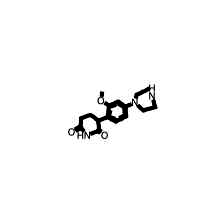 COc1cc(N2CCNCC2)ccc1C1CCC(=O)NC1=O